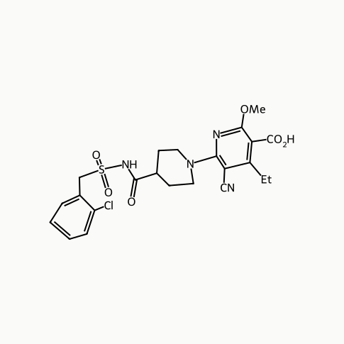 CCc1c(C#N)c(N2CCC(C(=O)NS(=O)(=O)Cc3ccccc3Cl)CC2)nc(OC)c1C(=O)O